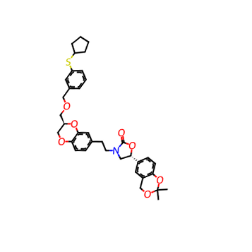 CC1(C)OCc2cc([C@@H]3CN(CCc4ccc5c(c4)O[C@H](COCc4cccc(SC6CCCC6)c4)CO5)C(=O)O3)ccc2O1